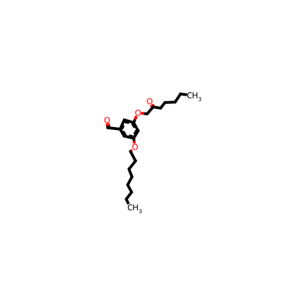 CCCCCCCCOc1cc(C=O)cc(OCC(=O)CCCCC)c1